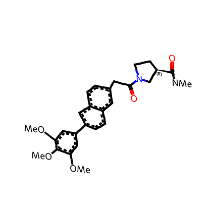 CNC(=O)[C@@H]1CCN(C(=O)Cc2ccc3cc(-c4cc(OC)c(OC)c(OC)c4)ccc3c2)C1